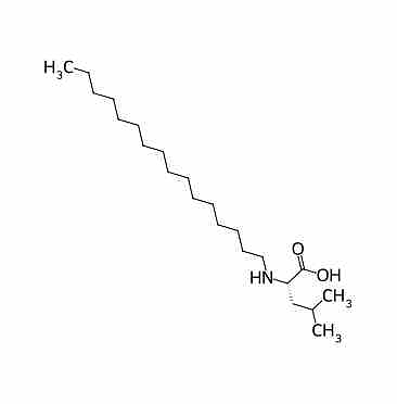 CCCCCCCCCCCCCCCCN[C@@H](CC(C)C)C(=O)O